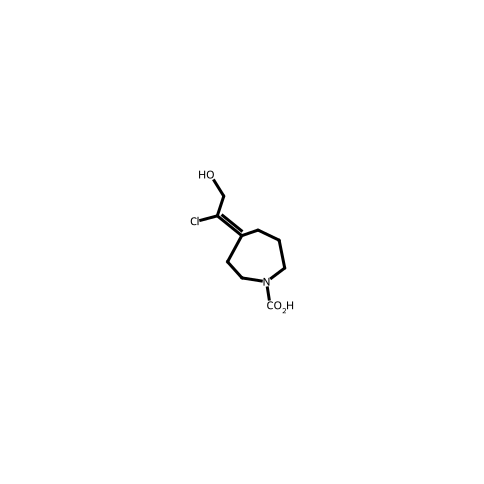 O=C(O)N1CCCC(=C(Cl)CO)CC1